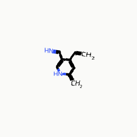 C=CC1=CC(=C)NC=C1C=N